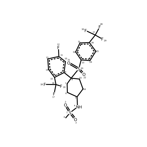 CS(=O)(=O)NC1CCC(c2cc(F)ccc2C(F)(F)F)(S(=O)(=O)c2ccc(C(F)(F)F)cc2)CC1